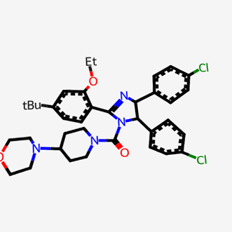 CCOc1cc(C(C)(C)C)ccc1C1=NC(c2ccc(Cl)cc2)C(c2ccc(Cl)cc2)N1C(=O)N1CCC(N2CCOCC2)CC1